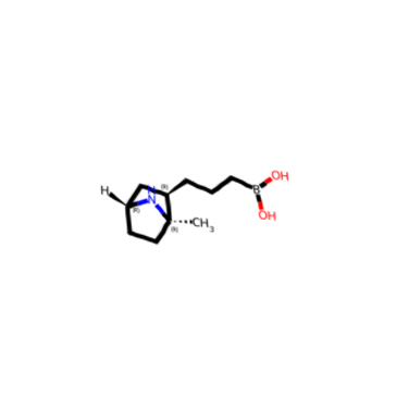 C[C@@]12CC[C@H](C[C@H]1CCCB(O)O)N2